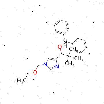 CCOCn1cnc(C(O[SiH](c2ccccc2)c2ccccc2)C(C)(C)C)c1